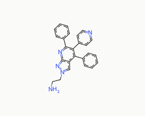 NCCn1cc2c(-c3ccccc3)c(-c3ccncc3)c(-c3ccccc3)nc2n1